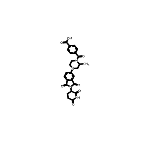 CC1CN(c2ccc3c(c2)C(=O)N(C2CCC(=O)NC2=O)C3=O)CCN1C(=O)c1ccc(C(=O)O)cc1